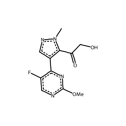 COc1ncc(F)c(-c2cnn(C)c2C(=O)CO)n1